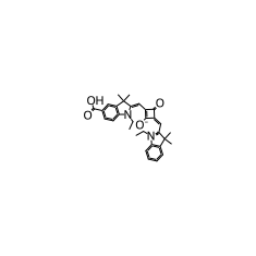 CCN1C(=CC2=C([O-])C(=CC3=[N+](CC)c4ccccc4C3(C)C)C2=O)C(C)(C)c2cc(C(=O)O)ccc21